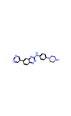 c1ncc(-c2ccc3nnc(Nc4ccc(N5CCNCC5)cc4)nc3c2)cn1